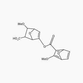 COc1c(C(=O)OC2=CC3OC2C(C(=O)O)C3OC)c2ccc1o2